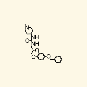 CN1CCC(NC(=O)NC[C@@H]2COc3ccc(OCc4ccccc4)cc3O2)CC1